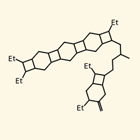 C=C1CC2C(CCC(C)CC3C(CC)C4CC5C(CC34)C3CC4C6CC7C(CC)C(CC)C7CC6C4CC53)C(CC)C2CC1CC